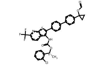 C[C@@H](OC(=O)Nc1c(-c2ccc(-c3ccc(C4(OC=O)CC4)cc3)cc2)sc2nc(C(F)(F)F)ccc12)c1ccccc1Cl